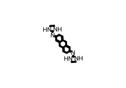 C1=C2CC3=CC(=NC4NCCN4)CC=C3CC2=CC(=NC2NCCN2)C1